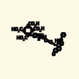 C[C@]12C[C@H](CCCOCCOCCNC(=S)Nc3ccc(CC4CN(CC(=O)O)CCN(CC(=O)O)CCN(CC(=O)O)CCN4CC(=O)O)cc3)C3=C4CCC(=O)C=C4CCC3C1CC[C@@]2(O)/C=C/c1ccccc1